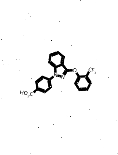 O=C(O)c1ccc(-n2nc(Oc3ccccc3C(F)(F)F)c3ccccc32)cc1